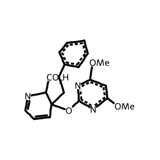 COc1cc(OC)nc(OC2(CCc3ccccc3)C=CC=NC2C(=O)O)n1